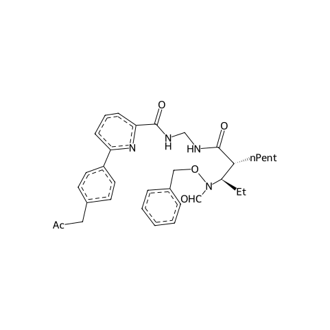 CCCCC[C@@H](C(=O)NCNC(=O)c1cccc(-c2ccc(CC(C)=O)cc2)n1)[C@@H](CC)N(C=O)OCc1ccccc1